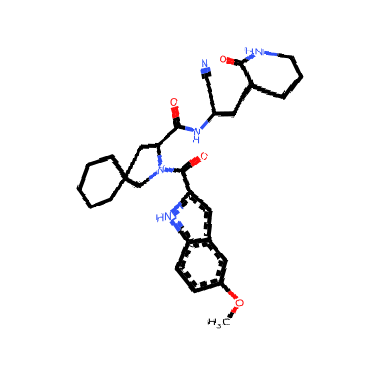 COc1ccc2[nH]c(C(=O)N3CC4(CCCCC4)CC3C(=O)NC(C#N)CC3CCCNC3=O)cc2c1